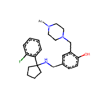 CC(=O)N1CCN(Cc2cc(CNC3(c4ccccc4F)CCCC3)ccc2O)CC1